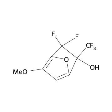 COc1cc2oc1C(F)(F)C2(O)C(F)(F)F